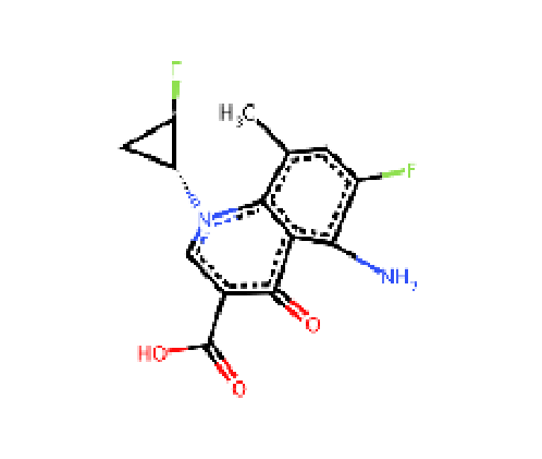 Cc1cc(F)c(N)c2c(=O)c(C(=O)O)cn([C@@H]3C[C@H]3F)c12